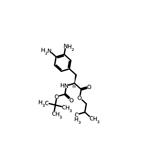 CC(C)COC(=O)[C@H](Cc1ccc(N)c(N)c1)NC(=O)OC(C)(C)C